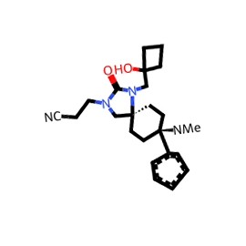 CN[C@]1(c2ccccc2)CC[C@]2(CC1)CN(CCC#N)C(=O)N2CC1(O)CCC1